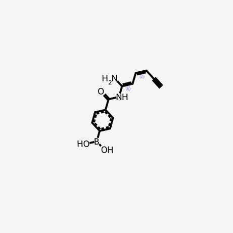 C#C/C=C\C=C(/N)NC(=O)c1ccc(B(O)O)cc1